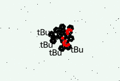 CC(C)(C)c1ccc2c(c1)c1cc(C(C)(C)C)ccc1n2-c1cccc(N(c2cc(-c3ccccc3)cc(C(c3ccccc3)(c3ccccc3)c3cccc(-n4c5ccc(C(C)(C)C)cc5c5cc(C(C)(C)C)ccc54)c3)c2)C2C(C3CC=CCC3)=CCCC2C2=CCCCC2)c1